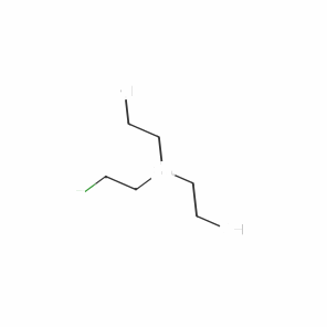 CC[CH2][Ga]([CH2]CC)[CH2]CF